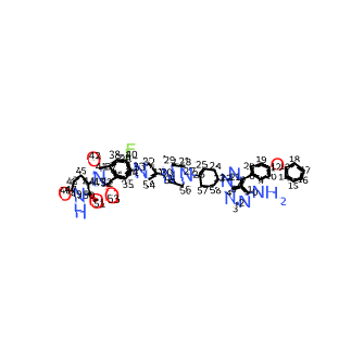 Nc1ncnc2c1c(-c1ccc(Oc3ccccc3)cc1)nn2[C@H]1CC[C@H](N2CCN(C3CN(c4cc5c(cc4F)C(=O)N(C4CCC(=O)NC4=O)C5=O)C3)CC2)CC1